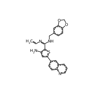 C=C/N=C(/NCc1ccc2c(c1)OCO2)c1sc(-c2ccc3ncccc3c2)cc1N